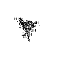 C=CCCC(=O)N[C@@H](CCS(C)(=O)=O)C(=O)O[C@H]1[C@@H](O)[C@H](n2cnc3c(N)ncnc32)O[C@@H]1COP(=O)(O)[C@H]1C[C@H](n2ccc(N)nc2=O)O[C@@H]1COP(=O)(O)O